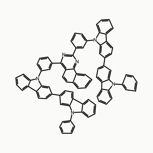 c1ccc(-n2c3ccccc3c3ccc(-c4ccc5c6ccccc6n(-c6cccc(-c7nc(-c8cccc(-n9c%10ccccc%10c%10ccc(-c%11ccc%12c%13ccccc%13n(-c%13ccccc%13)c%12c%11)cc%109)c8)c8ccc9ccccc9c8n7)c6)c5c4)cc32)cc1